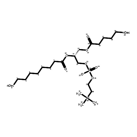 CCCCCCCCCCCCCCCCCC(=O)O[C@H](COC(=O)CCCCCCCCCCCCCC)COP(=O)([O-])OCC[N+](C)(C)C